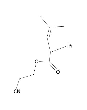 CC(C)=CC(C(=O)OCCC#N)C(C)C